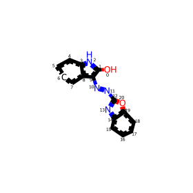 Oc1[nH]c2ccccc2c1N=Nc1nc2ccccc2o1